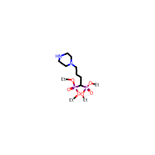 CCOP(=O)(OCC)C(CCCN1CCNCC1)P(=O)(OCC)OCC